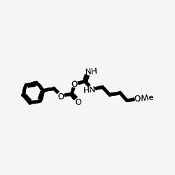 COCCCCNC(=N)OC(=O)OCc1ccccc1